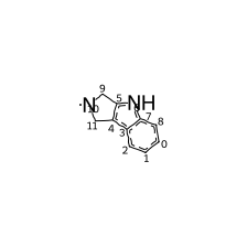 c1ccc2c3c([nH]c2c1)C[N]C3